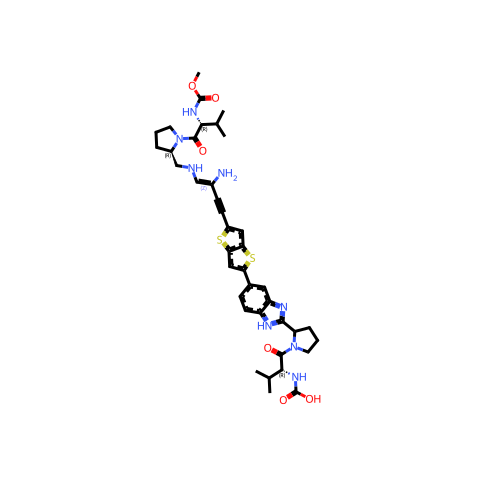 COC(=O)N[C@@H](C(=O)N1CCC[C@@H]1CN/C=C(\N)C#Cc1cc2sc(-c3ccc4[nH]c(C5CCCN5C(=O)[C@H](NC(=O)O)C(C)C)nc4c3)cc2s1)C(C)C